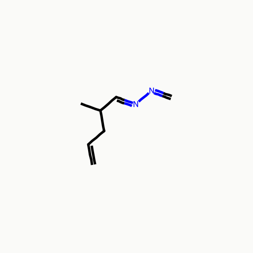 C=CCC(C)/C=N/N=C